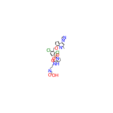 Cc1cc(-n2ccnc2)c2cccc(OCc3c(Cl)ccc(S(=O)(=O)N4CCC[C@H]4C(=O)NCCCN(C)CC(=O)O)c3Cl)c2n1